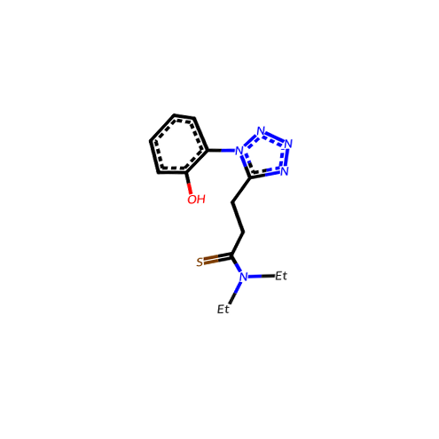 CCN(CC)C(=S)CCc1nnnn1-c1ccccc1O